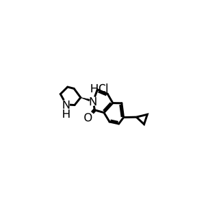 Cl.O=c1c2ccc(C3CC3)cc2ccn1[C@@H]1CCCNC1